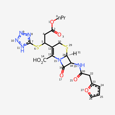 CCCOC(=O)CC(Sc1nnn[nH]1)C1=C(C(=O)O)N2C(=O)C(NC(=O)Cc3ccco3)[C@@H]2SC1